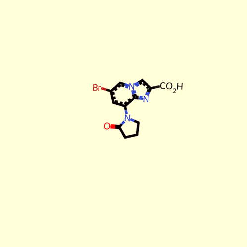 O=C(O)c1cn2cc(Br)cc(N3CCCC3=O)c2n1